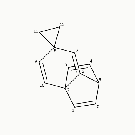 C1=CC23C=CC1C2=CC1(C=C3)CC1